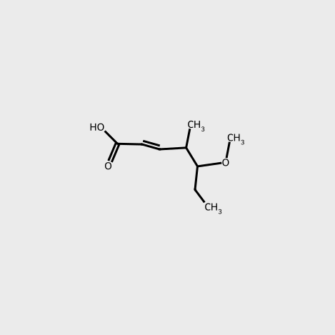 CCC(OC)C(C)C=CC(=O)O